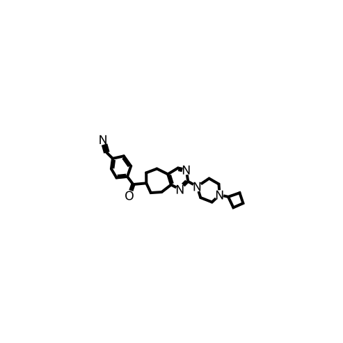 N#Cc1ccc(C(=O)C2CCc3cnc(N4CCN(C5CCC5)CC4)nc3CC2)cc1